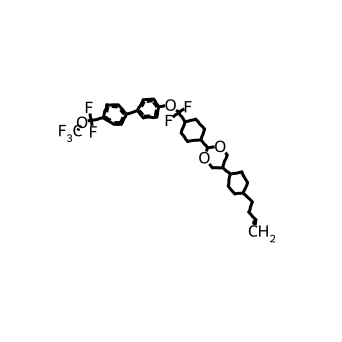 C=CCCC1CCC(C2COC(C3CCC(C(F)(F)Oc4ccc(-c5ccc(C(F)(F)OC(F)(F)F)cc5)cc4)CC3)OC2)CC1